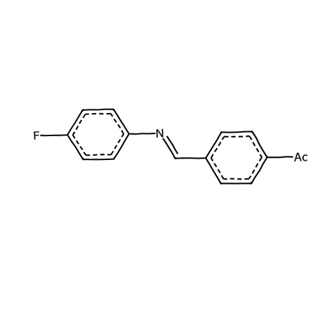 CC(=O)c1ccc(/C=N/c2ccc(F)cc2)cc1